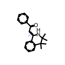 CC1(C)N/C(=C\C(=O)c2ccccc2)c2ccccc2C1(C)C